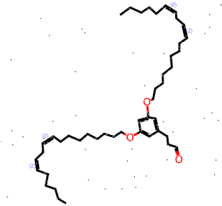 CCCCC/C=C\C/C=C\CCCCCCCCOc1cc(CCC=O)cc(OCCCCCCCC/C=C\C/C=C\CCCCC)c1